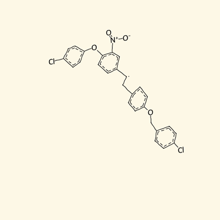 O=[N+]([O-])c1cc([CH]Cc2ccc(OCc3ccc(Cl)cc3)cc2)ccc1Oc1ccc(Cl)cc1